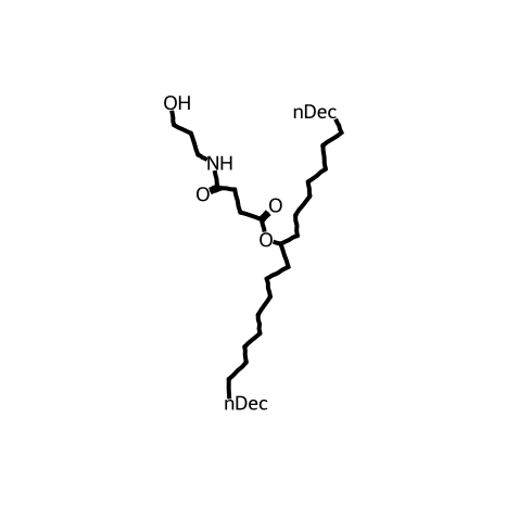 CCCCCCCCCCCCCCCCCCC(CCCCCCCCCCCCCCCCC)OC(=O)CCC(=O)NCCCO